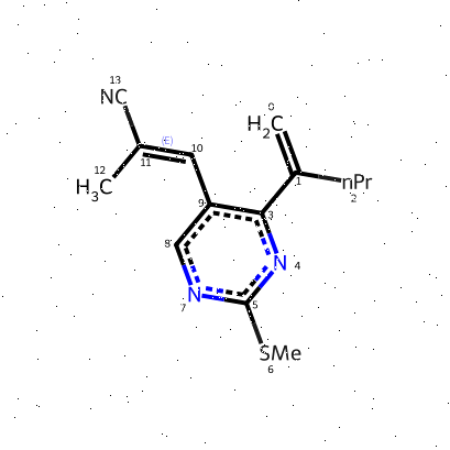 C=C(CCC)c1nc(SC)ncc1/C=C(\C)C#N